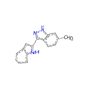 O=Cc1ccc2c(-c3cc4ccccc4[nH]3)n[nH]c2c1